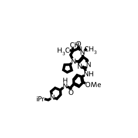 COc1cc(C(=O)NC2CCN(CC(C)C)CC2)ccc1Nc1ncc2c(n1)N(C1CCCC1)CC(C)(C)C(=O)N2C